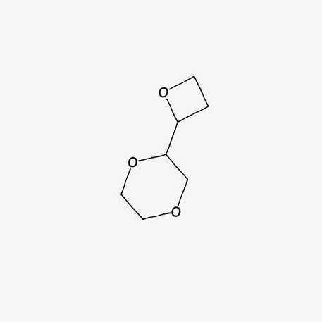 C1COC(C2CCO2)CO1